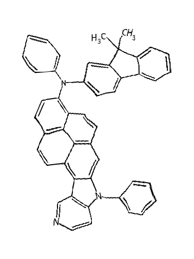 CC1(C)c2ccccc2-c2ccc(N(c3ccccc3)c3ccc4ccc5c6c(ccc3c46)cc3c5c4cnccc4n3-c3ccccc3)cc21